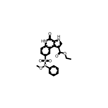 CCOC(=O)c1c[nH]c2c(=O)[nH]c3ccc(S(=O)(=O)N(OC)c4ccccc4)cc3c12